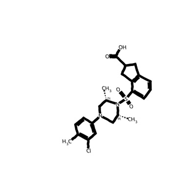 Cc1ccc(N2C[C@@H](C)N(S(=O)(=O)c3cccc4c3CC(C(=O)O)C4)[C@@H](C)C2)cc1Cl